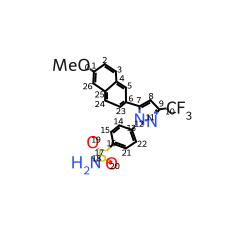 COc1ccc2cc(-c3cc(C(F)(F)F)nn3-c3ccc(S(N)(=O)=O)cc3)ccc2c1